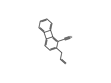 C=CCc1ccc2c(c1C#N)-c1ccccc1-2